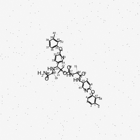 Cc1cccc(Oc2ccc(NC(=O)[C@@H](C)NC(=O)OC(C)(C)C(N[C@H](C)C(N)=O)c3ccc(Oc4cccc(C)c4C)nc3)cn2)c1C